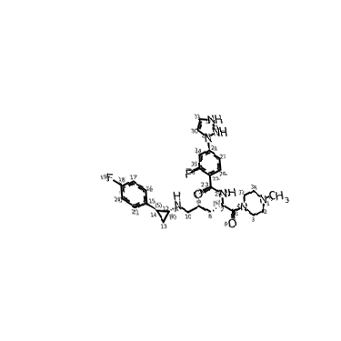 CN1CCN(C(=O)[C@H](CCCN[C@@H]2C[C@H]2c2ccc(F)cc2)NC(=O)c2ccc(N3C=CNN3)cc2F)CC1